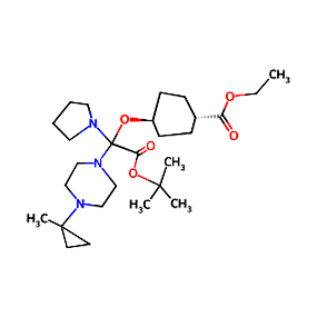 CCOC(=O)[C@H]1CC[C@H](OC(C(=O)OC(C)(C)C)(N2CCCC2)N2CCN(C3(C)CC3)CC2)CC1